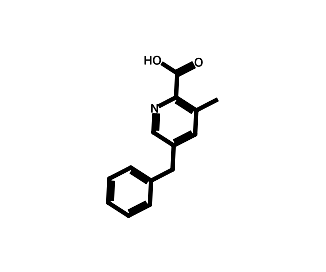 Cc1cc(Cc2ccccc2)cnc1C(=O)O